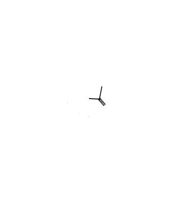 C.Cl.O=C(O)O